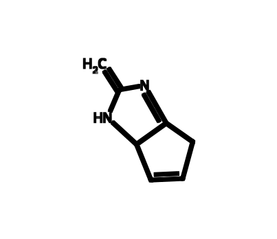 C=C1N=C2CC=CC2N1